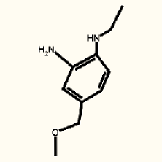 CCNc1ccc(COC)cc1N